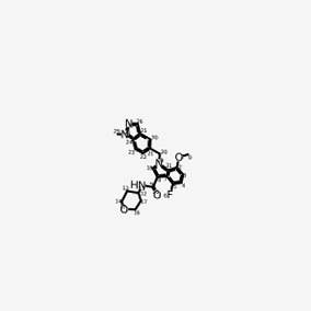 COc1ccc(F)c2c(C(=O)NC3CCOCC3)cn(Cc3ccc4c(cnn4C)c3)c12